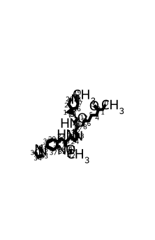 CCC(=O)CCCCC[C@H](NC(=O)[C@H]1CC12CCN(C)CC2)c1ncc(-c2cc3ccc(-n4cccn4)cc3nc2OC)[nH]1